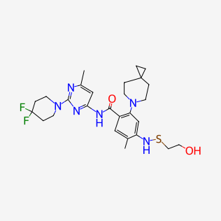 Cc1cc(NC(=O)c2cc(C)c(NSCCO)cc2N2CCC3(CC2)CC3)nc(N2CCC(F)(F)CC2)n1